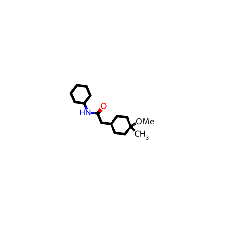 COC1(C)CCC(CC(=O)NC2CCCCC2)CC1